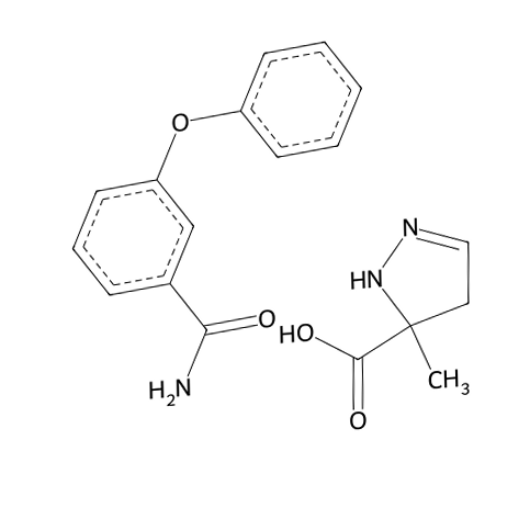 CC1(C(=O)O)CC=NN1.NC(=O)c1cccc(Oc2ccccc2)c1